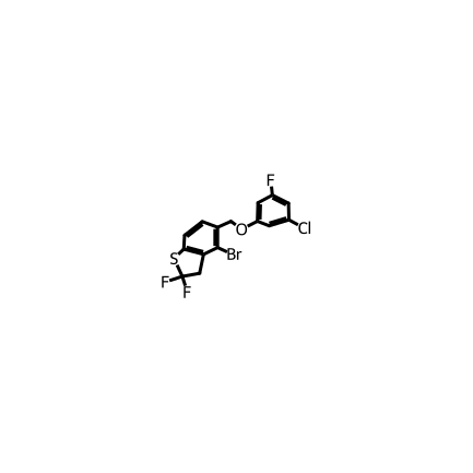 Fc1cc(Cl)cc(OCc2ccc3c(c2Br)CC(F)(F)S3)c1